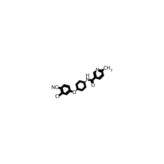 Cc1ccc(C(=O)N[C@H]2CC[C@H](Oc3ccc(C#N)c(Cl)c3)CC2)cn1